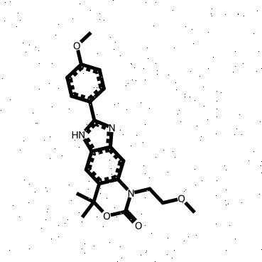 COCCN1C(=O)OC(C)(C)c2cc3[nH]c(-c4ccc(OC)cc4)nc3cc21